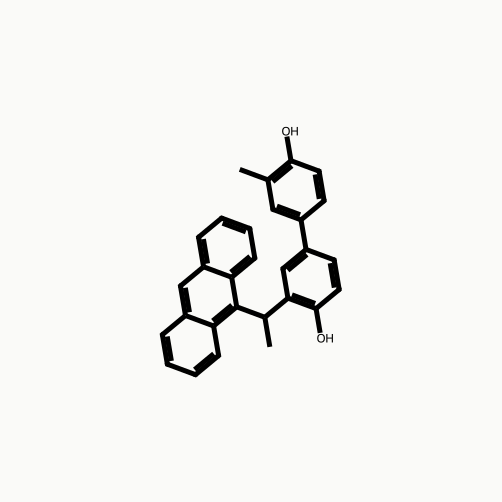 Cc1cc(-c2ccc(O)c(C(C)c3c4ccccc4cc4ccccc34)c2)ccc1O